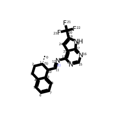 C[C@H]1CCc2ccccc2C1/C=N/c1ncnc2[nH]c(C(F)(F)F)cc12